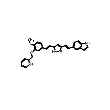 COc1ccc(/C=C/C2C=C(/C=C/c3ccc4[nH]ccc4c3)NN2)cc1OCC1C=CC=CN1